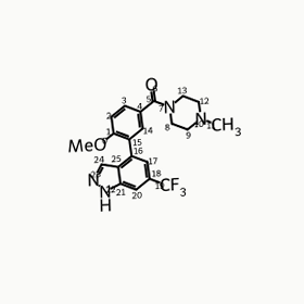 COc1ccc(C(=O)N2CCN(C)CC2)cc1-c1cc(C(F)(F)F)cc2[nH]ncc12